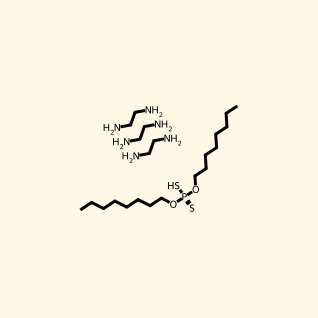 CCCCCCCCOP(=S)(S)OCCCCCCCC.NCCN.NCCN.NCCN